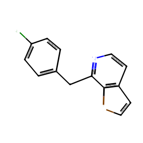 Brc1ccc(Cc2nccc3ccsc23)cc1